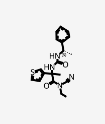 CCN(C#N)C(=O)C(C)(NC(=O)N[C@@H](C)c1ccccc1)c1ccsc1